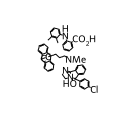 CNCCCC12CCC(c3ccccc31)c1ccccc12.Cc1cccc(Nc2ccccc2C(=O)O)c1C.OC1(c2ccc(Cl)cc2)c2ccccc2C2=NCCN21